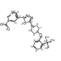 O=C(O)c1cncc(-c2nnc(N3CCC(Oc4ccccc4C(F)(F)F)CC3)s2)c1